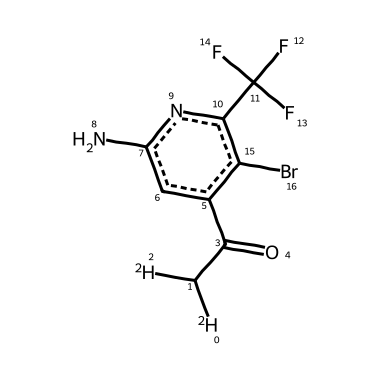 [2H]C([2H])C(=O)c1cc(N)nc(C(F)(F)F)c1Br